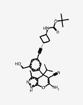 Cc1n[nH]c2c1C(c1cc(C#C[C@H]3C[C@H](NC(=O)OC(C)(C)C)C3)cc(CO)c1)(C(C)C)C(C#N)=C(N)O2